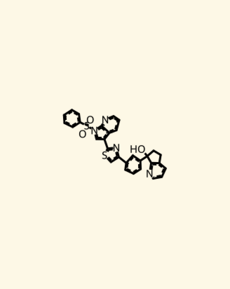 O=S(=O)(c1ccccc1)n1cc(-c2nc(-c3cccc(C4(O)CCc5cccnc54)c3)cs2)c2cccnc21